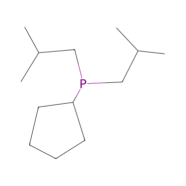 CC(C)CP(CC(C)C)C1CCCC1